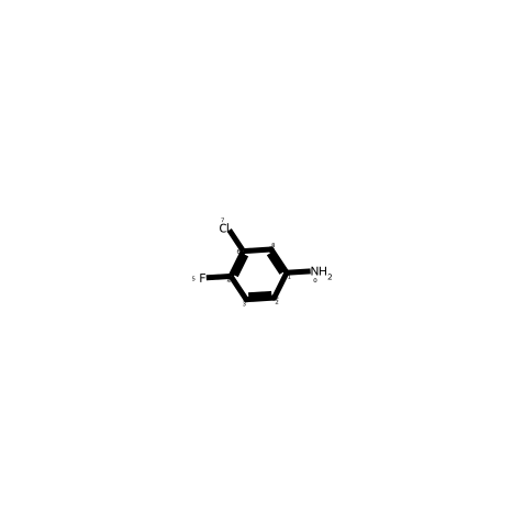 Nc1[c]cc(F)c(Cl)c1